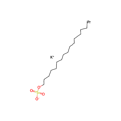 CC(C)CCCCCCCCCCCCCCCOS(=O)(=O)[O-].[K+]